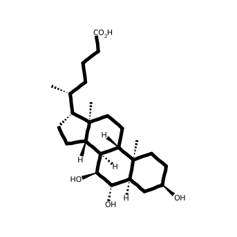 C[C@H](CCCC(=O)O)[C@H]1CC[C@H]2[C@@H]3[C@H](O)[C@@H](O)[C@@H]4C[C@H](O)CC[C@]4(C)[C@H]3CC[C@]12C